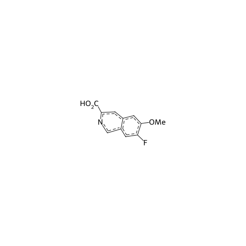 COc1cc2cc(C(=O)O)ncc2cc1F